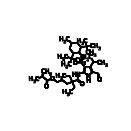 C=C(C)C(=O)OCCCC(CC)(CC)C(=O)Nc1[nH]c(C=O)c(C(C)C)c1C(=O)OC1C(C(C)(C)C)CC(C)CC1C(C)(C)C